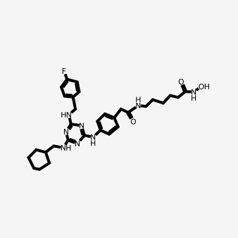 O=C(CCCCCNC(=O)Cc1ccc(Nc2nc(NCc3ccc(F)cc3)nc(NCC3CCCCC3)n2)cc1)NO